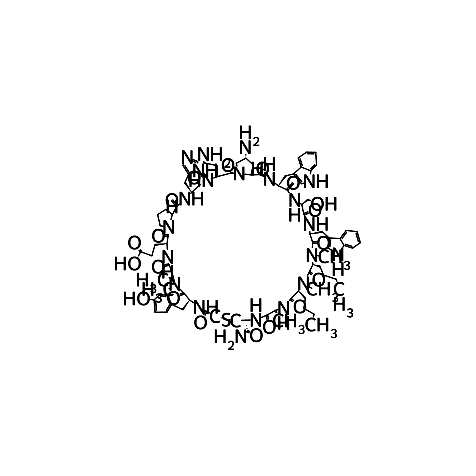 CCCC[C@H]1C(=O)N(C)[C@@H](CCCC)C(=O)N[C@@H](C)C(=O)N[C@H](C(N)=O)CSCC(=O)N[C@@H](Cc2ccc(O)cc2)C(=O)N(C)[C@@H](C)C(=O)N[C@@H](CCC(=O)O)C(=O)N2CCC[C@H]2C(=O)N[C@@H](Cc2cnc[nH]2)C(=O)N[C@@H](CCN)C(=O)N2C[C@H](N)C[C@H]2C(=O)N[C@@H](Cc2c[nH]c3ccccc23)C(=O)N[C@@H](CO)C(=O)N[C@@H](Cc2c[nH]c3ccccc23)C(=O)N1C